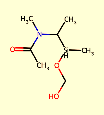 CC(=O)N(C)C(C)[SiH](C)OCO